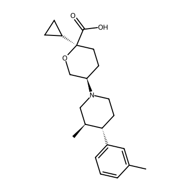 Cc1cccc([C@H]2CCN([C@@H]3CC[C@@](C(=O)O)(C4CC4)OC3)C[C@@H]2C)c1